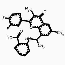 Cc1cc(C(C)Nc2ccccc2C(=O)O)c2oc(-c3ccc(F)c(F)c3)c(C)c(=O)c2c1